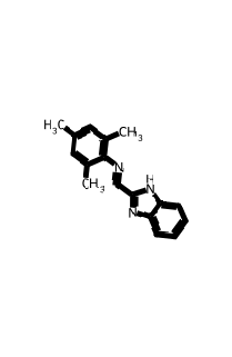 Cc1cc(C)c(/N=C/c2nc3ccccc3[nH]2)c(C)c1